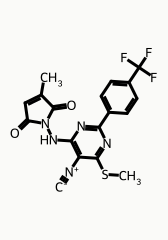 [C-]#[N+]c1c(NN2C(=O)C=C(C)C2=O)nc(-c2ccc(C(F)(F)F)cc2)nc1SC